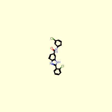 O=C(Nc1cccc(Cl)c1)c1ccc2nc(-c3ccccc3Cl)[nH]c2c1